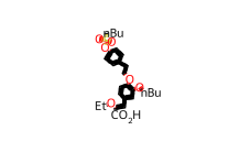 CCCCOc1cc(/C=C(\OCC)C(=O)O)ccc1OCCc1ccc(OS(=O)(=O)CCCC)cc1